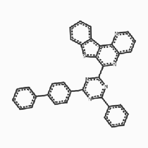 c1ccc(-c2ccc(-c3nc(-c4ccccc4)nc(-c4nc5cccnc5c5c4sc4ccccc45)n3)cc2)cc1